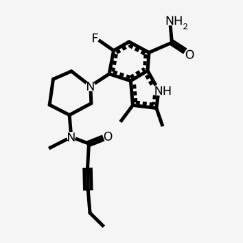 CCC#CC(=O)N(C)C1CCCN(c2c(F)cc(C(N)=O)c3[nH]c(C)c(C)c23)C1